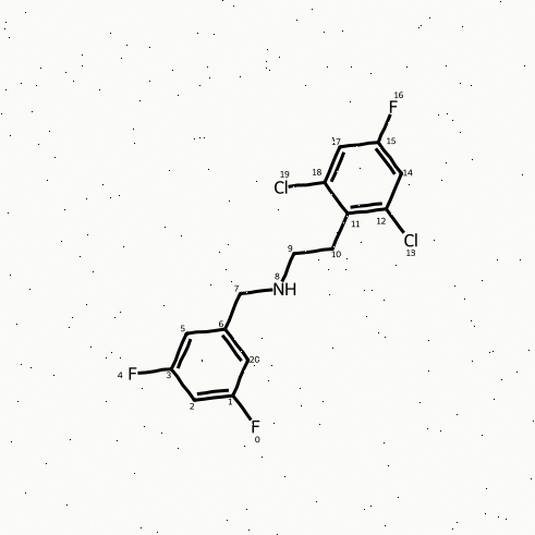 Fc1cc(F)cc(CNCCc2c(Cl)cc(F)cc2Cl)c1